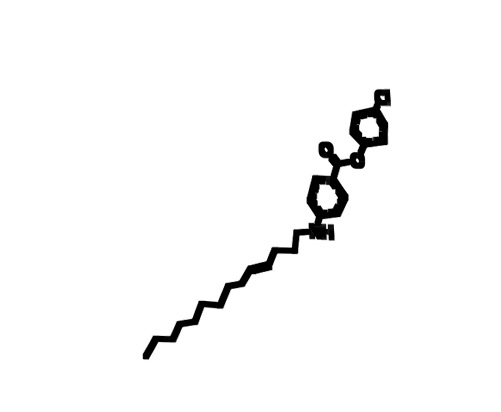 CCCCCCCCC/C=C/CCCNc1ccc(C(=O)Oc2ccc(Cl)cc2)cc1